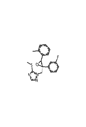 CSc1ncnn1C[C@]1(c2cccc(F)c2)OC1c1ccccc1C